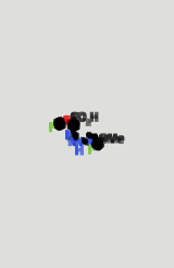 COc1ccc(F)c2c1cc(C)n2CCNc1cc(-c2ccc(C(=O)O)c(Oc3ccc(F)cc3)c2)ncn1